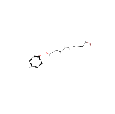 Cc1ccc(OCCCCCCCCBr)cc1